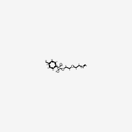 C=NCCOCCOS(=O)(=O)c1ccc(C)cc1